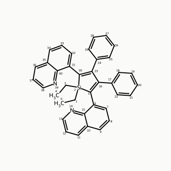 CC[Si]1(CC)C(c2cccc3cccnc23)=C(c2ccccc2)C(c2ccccc2)=C1c1cccc2cccnc12